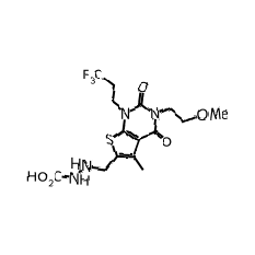 COCCn1c(=O)c2c(C)c(CNNC(=O)O)sc2n(CCC(F)(F)F)c1=O